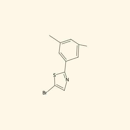 Cc1cc(C)cc(-c2ncc(Br)s2)c1